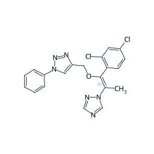 C/C(=C(/OCc1cn(-c2ccccc2)nn1)c1ccc(Cl)cc1Cl)n1cncn1